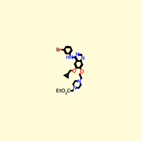 CCOC(=O)CN1CCN(CCOc2cc3ncnc(Nc4cccc(Br)c4)c3cc2OCC2CC2)CC1